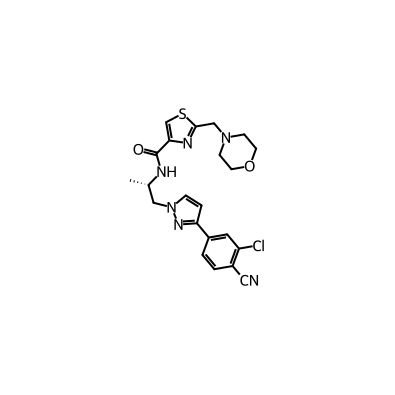 C[C@@H](Cn1ccc(-c2ccc(C#N)c(Cl)c2)n1)NC(=O)c1csc(CN2CCOCC2)n1